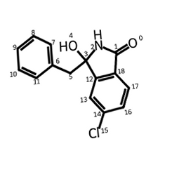 O=C1NC(O)(Cc2ccccc2)c2cc(Cl)ccc21